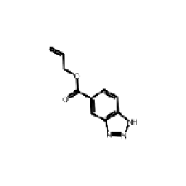 C=CCOC(=O)c1ccc2[nH]nnc2c1